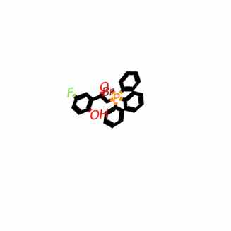 O=C(CP(Br)(c1ccccc1)(c1ccccc1)c1ccccc1)c1cc(F)ccc1O